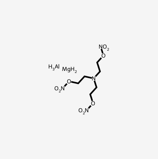 O=[N+]([O-])OCCN(CCO[N+](=O)[O-])CCO[N+](=O)[O-].[AlH3].[MgH2]